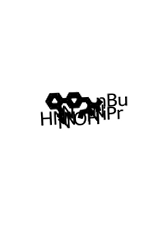 CCCCc1c(Cc2ccc(-c3ccccc3-c3nnn[nH]3)cc2)c(CO)nn1C(C)C